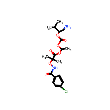 CC(OC(=O)OC(CN)C(C)C)OC(=O)C(C)(C)ONC(=O)c1ccc(Cl)cc1